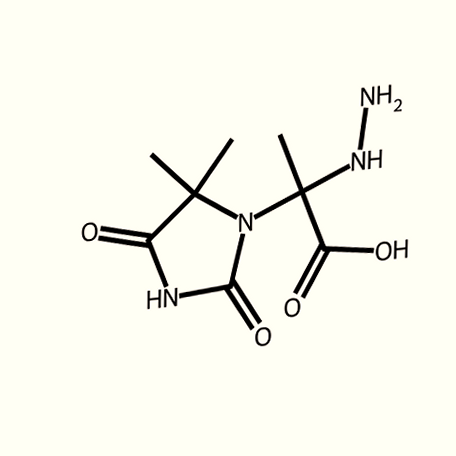 CC1(C)C(=O)NC(=O)N1C(C)(NN)C(=O)O